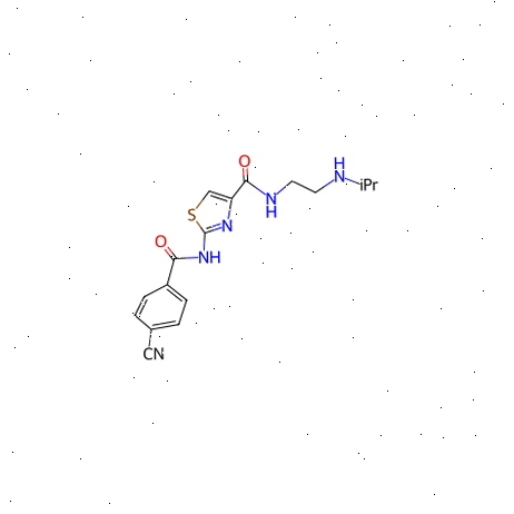 CC(C)NCCNC(=O)c1csc(NC(=O)c2ccc(C#N)cc2)n1